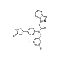 O=C1CC(c2ccc(N(Cc3cc(F)cc(F)c3)C(=O)Cn3nnc4ccccc43)cc2)CN1